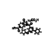 CCCC(=O)N1CCN(C(=O)[C@H](CCC(=O)O)NC(=O)c2cc(OC3CCCC3)nc(-c3ccccc3)n2)CC1